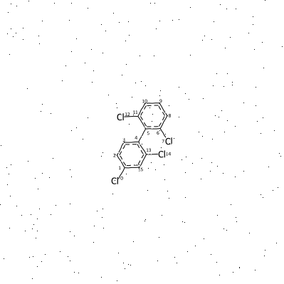 Clc1ccc(-c2c(Cl)cccc2Cl)c(Cl)c1